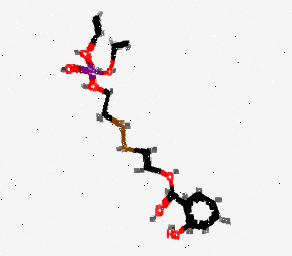 CCOP(=O)(OCC)OCCSSCCOC(=O)c1ccccc1O